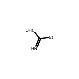 CCC(=N)C=O